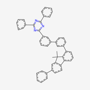 CC1(C)c2cc(-c3ccccc3)ccc2-c2cccc(-c3cccc(-c4cccc(-c5nc(-c6ccccc6)nc(-c6ccccc6)n5)c4)c3)c21